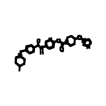 CC1CCN(Cc2ccc(C(=O)Nc3ccc(OC(=O)N4CCC(On5ccnc5)CC4)nc3)cc2)CC1